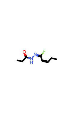 CC/C=C\C(F)=N/NC(=O)CC